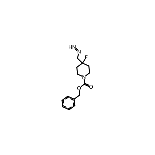 N=NCC1(F)CCN(C(=O)OCc2ccccc2)CC1